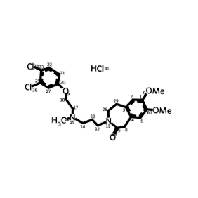 COc1cc2c(cc1OC)CC(=O)N(CCCN(C)CCOc1ccc(Cl)c(Cl)c1)CC2.Cl